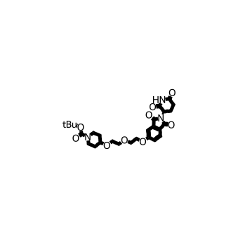 CC(C)(C)OC(=O)N1CCC(OCCOCCOc2ccc3c(c2)C(=O)N([C@@H]2CCC(=O)NC2=O)C3=O)CC1